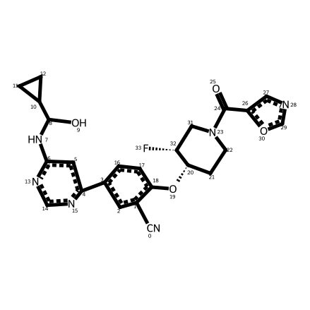 N#Cc1cc(-c2cc(NC(O)C3CC3)ncn2)ccc1O[C@H]1CCN(C(=O)c2cnco2)C[C@H]1F